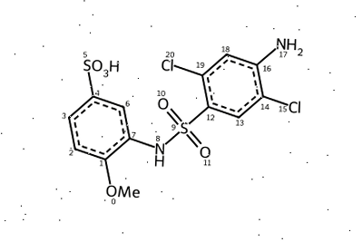 COc1ccc(S(=O)(=O)O)cc1NS(=O)(=O)c1cc(Cl)c(N)cc1Cl